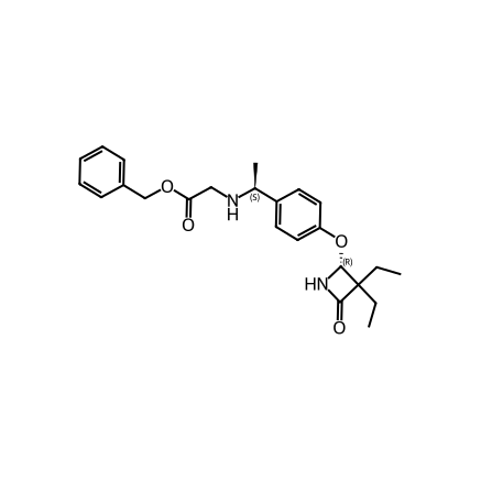 CCC1(CC)C(=O)N[C@@H]1Oc1ccc([C@H](C)NCC(=O)OCc2ccccc2)cc1